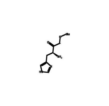 CC(C)(C)O[CH]C(=O)[C@@H](N)Cc1c[nH]cn1